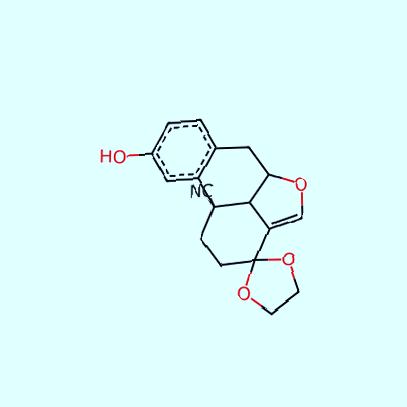 N#CC12CCC3(OCCO3)C3=COC(Cc4ccc(O)cc41)C32